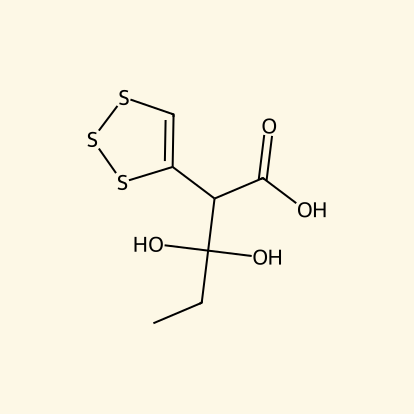 CCC(O)(O)C(C(=O)O)C1=CSSS1